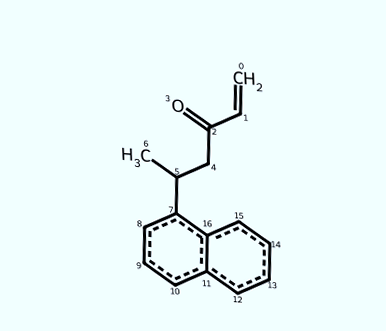 C=CC(=O)CC(C)c1cccc2ccccc12